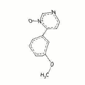 COc1cccc(-c2ccnc[n+]2[O-])c1